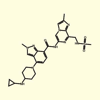 Cc1cn2cc(NC(=O)c3ccc(N4CCC(NC5CC5)CC4)c4cn(C)nc34)nc(CNS(C)(=O)=O)c2n1